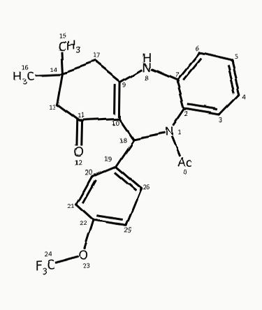 CC(=O)N1c2ccccc2NC2=C(C(=O)CC(C)(C)C2)C1c1ccc(OC(F)(F)F)cc1